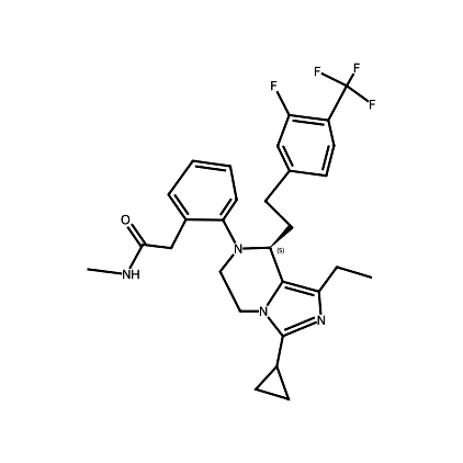 CCc1nc(C2CC2)n2c1[C@H](CCc1ccc(C(F)(F)F)c(F)c1)N(c1ccccc1CC(=O)NC)CC2